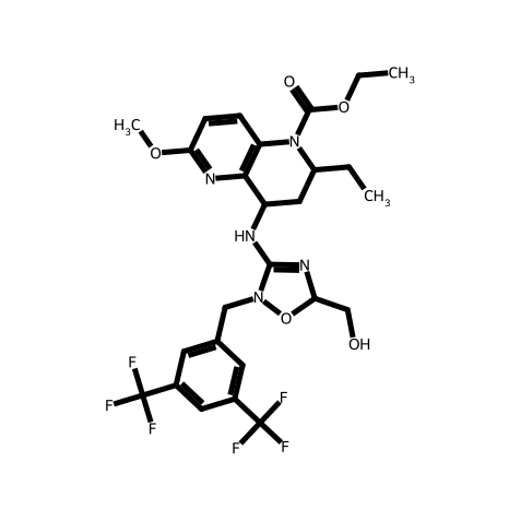 CCOC(=O)N1c2ccc(OC)nc2C(NC2=NC(CO)ON2Cc2cc(C(F)(F)F)cc(C(F)(F)F)c2)CC1CC